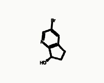 O[C@@H]1CCc2cc(Br)cnc21